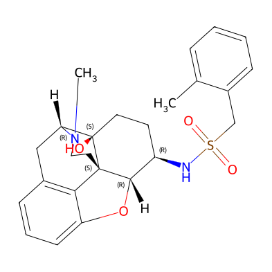 Cc1ccccc1CS(=O)(=O)N[C@@H]1CC[C@@]2(O)[C@H]3Cc4cccc5c4[C@@]2(CCN3C)[C@H]1O5